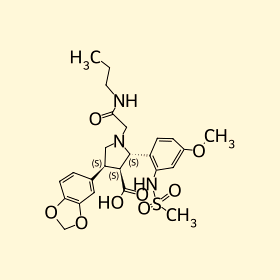 CCCNC(=O)CN1C[C@H](c2ccc3c(c2)OCO3)[C@H](C(=O)O)[C@H]1c1ccc(OC)cc1NS(C)(=O)=O